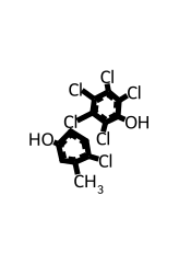 Cc1cc(O)ccc1Cl.Oc1c(Cl)c(Cl)c(Cl)c(Cl)c1Cl